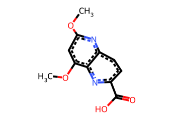 COc1cc(OC)c2nc(C(=O)O)ccc2n1